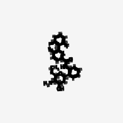 CC[C@H]1O[C@@H](c2ccncc2NC(=O)c2ccc(F)c(-c3c(F)cccc3F)n2)C[C@@H](O)[C@H]1N